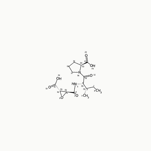 CC[C@H](C)[C@H](NC(=O)[C@H]1O[C@@H]1C(=O)O)C(=O)N1CCC[C@H]1C(=O)O